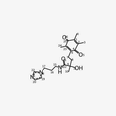 CC1=C(C)C(=O)C(CCC(C)(O)C(=O)NCCCn2ccnc2)=C(C)C1=O